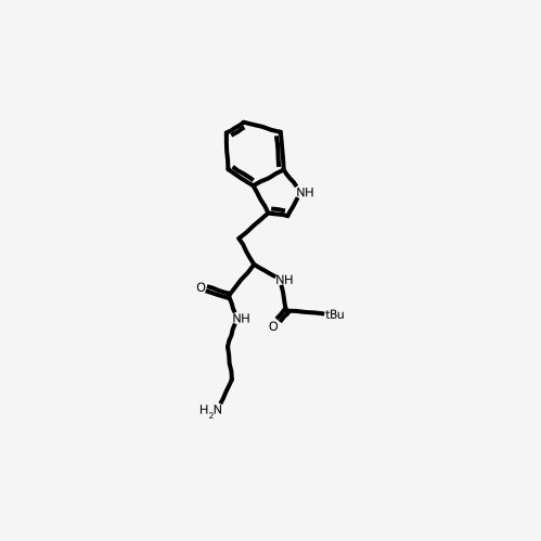 CC(C)(C)C(=O)NC(Cc1c[nH]c2ccccc12)C(=O)NCCN